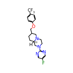 Fc1cnc(N2CCN3CC(COc4ccc(C(F)(F)F)cc4)CC[C@H]3C2)nc1